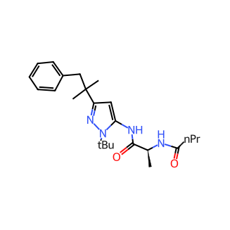 CCCC(=O)N[C@@H](C)C(=O)Nc1cc(C(C)(C)Cc2ccccc2)nn1C(C)(C)C